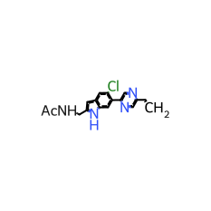 C=Cc1cnc(-c2cc3[nH]c(CNC(C)=O)cc3cc2Cl)cn1